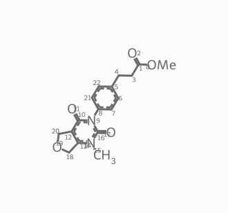 COC(=O)CCc1ccc(-n2c(=O)c3c(n(C)c2=O)COC3)cc1